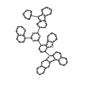 c1ccc(-n2c3ccccc3c3ccc(-c4nc(-c5cccc6ccccc56)nc(-c5ccc(-n6c7cc8ccccc8cc7c7c8ccccc8ccc76)c6oc7ccccc7c56)n4)cc32)cc1